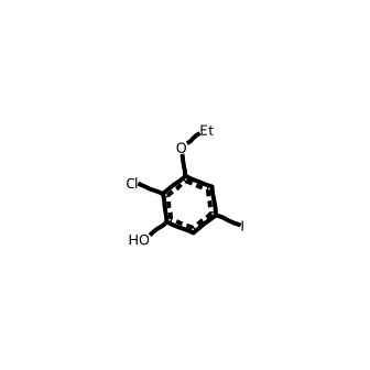 CCOc1cc(I)cc(O)c1Cl